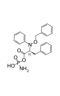 NP(=O)(O)OC(=O)[C@H](Cc1ccccc1)N(OCc1ccccc1)c1ccccc1